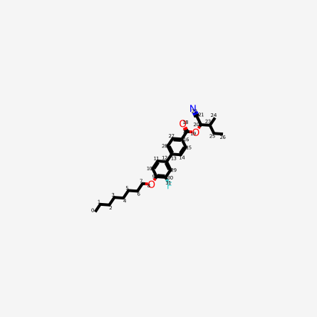 CCCCCCCCOc1ccc(-c2ccc(C(=O)OC(C#N)C(C)CC)cc2)cc1F